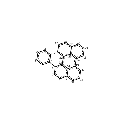 [c]1ccccc1-c1ccc2cccc3c4cccc5cccc(c1c23)c54